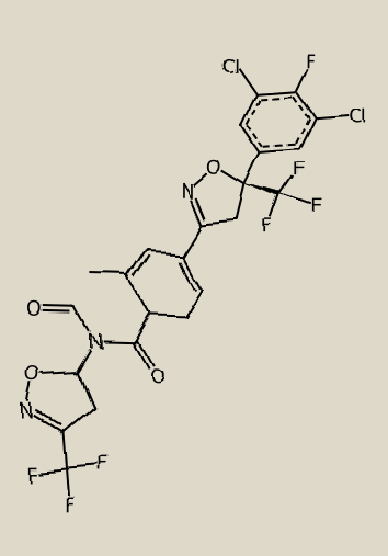 CC1=CC(C2=NO[C@@](c3cc(Cl)c(F)c(Cl)c3)(C(F)(F)F)C2)=CCC1C(=O)N(C=O)C1CC(C(F)(F)F)=NO1